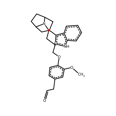 COc1cc(CC=O)ccc1OCCCCN1C2CCC1CC(c1n[nH]c3ccccc13)C2